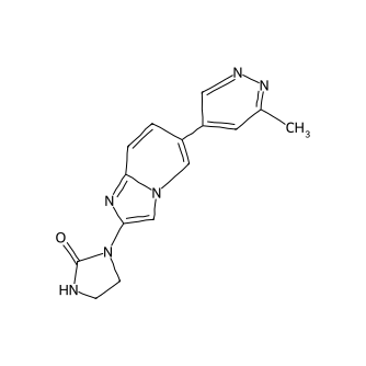 Cc1cc(-c2ccc3nc(N4CCNC4=O)cn3c2)cnn1